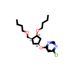 CCCCOC[C@@H]1C[C@@H](Oc2cc(Cl)ncn2)C[C@@H]1OCCCC